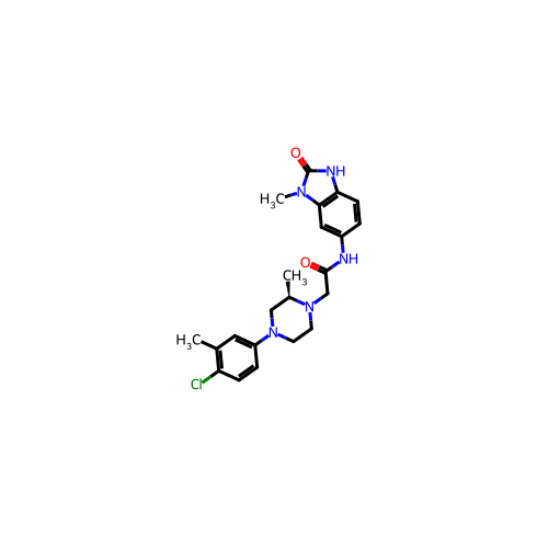 Cc1cc(N2CCN(CC(=O)Nc3ccc4[nH]c(=O)n(C)c4c3)[C@H](C)C2)ccc1Cl